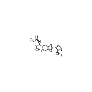 Cc1nccn1-c1nc2cc(C3=NNC(=O)CC3C)ccc2o1